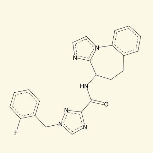 O=C(NC1CCc2ccccc2-n2ccnc21)c1ncn(Cc2ccccc2F)n1